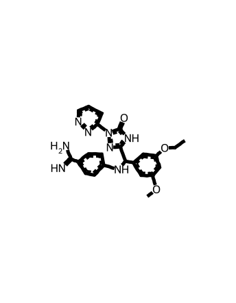 CCOc1cc(OC)cc(C(Nc2ccc(C(=N)N)cc2)c2nn(-c3cccnn3)c(=O)[nH]2)c1